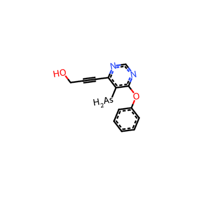 OCC#Cc1ncnc(Oc2ccccc2)c1[AsH2]